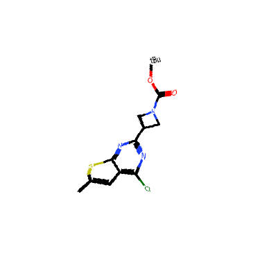 Cc1cc2c(Cl)nc(C3CN(C(=O)OC(C)(C)C)C3)nc2s1